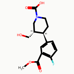 COC(=O)c1cc([C@@H]2CCN(C(=O)O)C[C@H]2CO)ccc1F